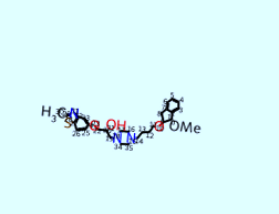 COC1c2ccccc2CC1OCCCCN1CCN(CC(O)COc2ccc3sc(C)nc3c2)CC1